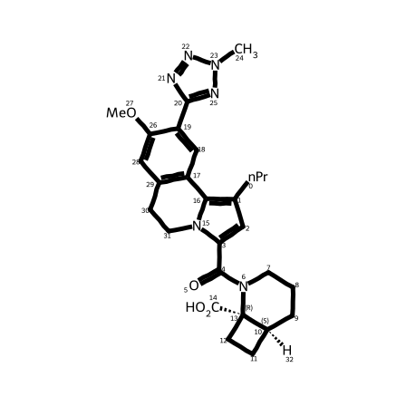 CCCc1cc(C(=O)N2CCC[C@H]3CC[C@]32C(=O)O)n2c1-c1cc(-c3nnn(C)n3)c(OC)cc1CC2